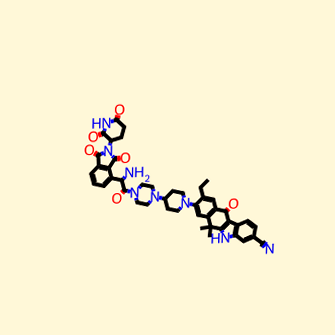 CCc1cc2c(cc1N1CCC(N3CCN(C(=O)C(N)c4cccc5c4C(=O)N(C4CCC(=O)NC4=O)C5=O)CC3)CC1)C(C)(C)c1[nH]c3cc(C#N)ccc3c1C2=O